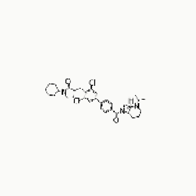 CC(C)N1CCCC2[C@H]1CN2C(=O)c1ccc(-c2cc(Cl)c(CC3CCN(C4CCCCC4)C3=O)c(Cl)c2)cc1